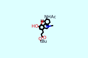 CC(=O)N[C@H]1CCC2C3Cc4c(CCC(=O)OC(C)(C)C)cc(O)c5c4[C@@]2(CCN3C)[C@H]1O5